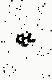 [Na+].[O-]N=[N+]([O-])N1CCCCC1